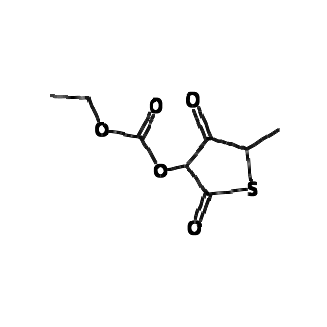 CCOC(=O)OC1C(=O)SC(C)C1=O